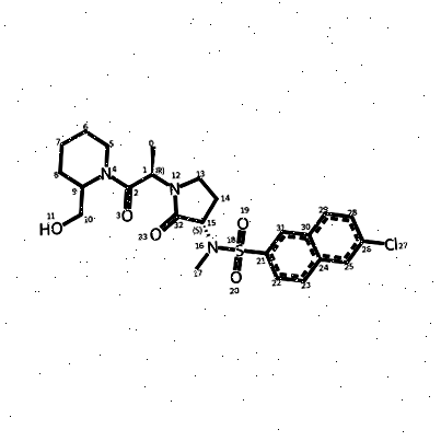 C[C@H](C(=O)N1CCCCC1CO)N1CC[C@H](N(C)S(=O)(=O)c2ccc3cc(Cl)ccc3c2)C1=O